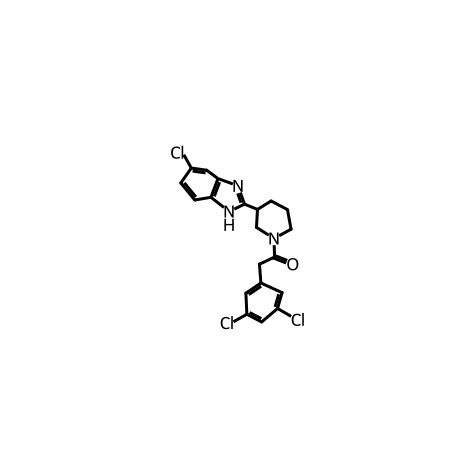 O=C(Cc1cc(Cl)cc(Cl)c1)N1CCCC(c2nc3cc(Cl)ccc3[nH]2)C1